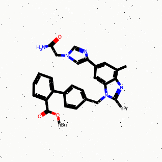 CCCCOC(=O)c1ccccc1-c1ccc(Cn2c(CCC)nc3c(C)cc(-c4cn(CC(N)=O)cn4)cc32)cc1